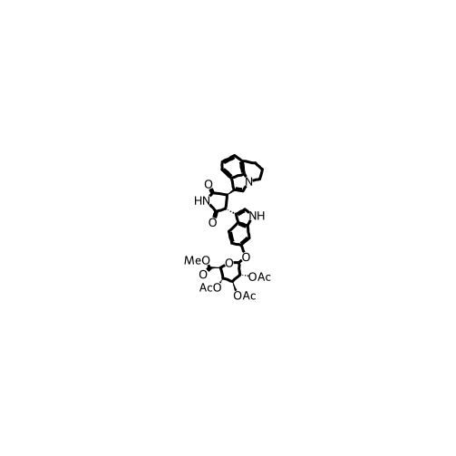 COC(=O)[C@H]1OC(Oc2ccc3c([C@@H]4C(=O)NC(=O)[C@H]4c4cn5c6c(cccc46)CCC5)c[nH]c3c2)[C@H](OC(C)=O)[C@@H](OC(C)=O)[C@@H]1OC(C)=O